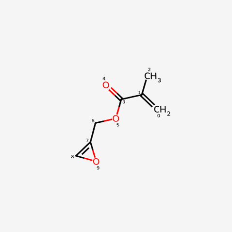 C=C(C)C(=O)OCC1=CO1